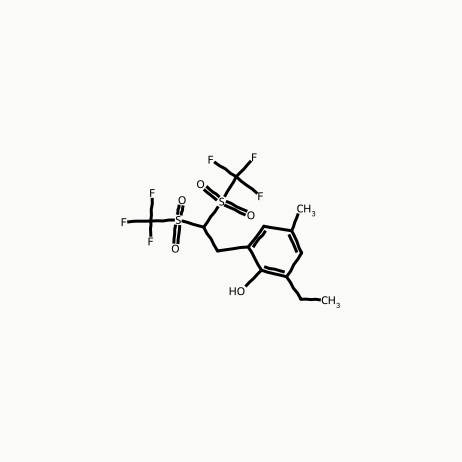 CCc1cc(C)cc(CC(S(=O)(=O)C(F)(F)F)S(=O)(=O)C(F)(F)F)c1O